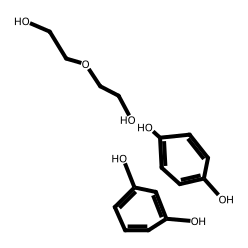 OCCOCCO.Oc1ccc(O)cc1.Oc1cccc(O)c1